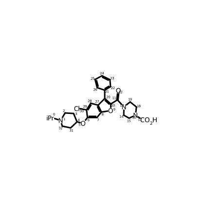 CC(C)N1CCC(Oc2cc3oc(C(=O)N4CCN(C(=O)O)CC4)c(-c4ccccc4)c3cc2Cl)CC1